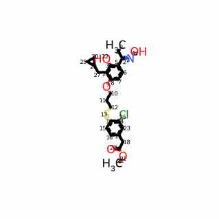 CC/C(=N\O)c1ccc(OCCCSc2ccc(CC(=O)OC)cc2Cl)c(CC2CC2)c1O